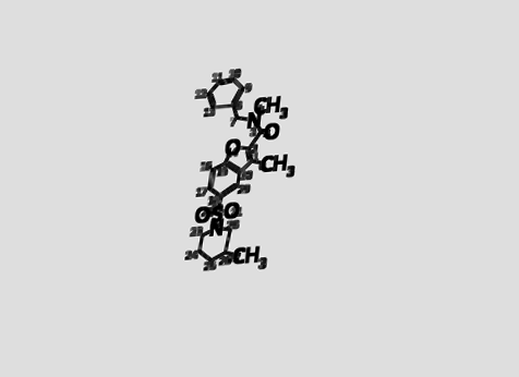 Cc1c(C(=O)N(C)Cc2ccccc2)oc2ccc(S(=O)(=O)N3CCCC(C)C3)cc12